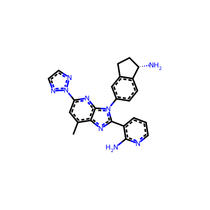 Cc1cc(-n2nccn2)nc2c1nc(-c1cccnc1N)n2-c1ccc2c(c1)CC[C@@H]2N